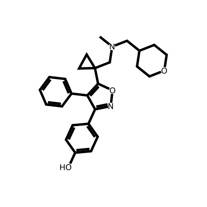 CN(CC1CCOCC1)CC1(c2onc(-c3ccc(O)cc3)c2-c2ccccc2)CC1